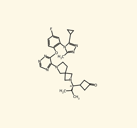 Cc1nnc(C2CC2)n1-c1cc(F)ccc1Oc1nncnc1N1CCC2(C1)CN([C@H](C(C)C)C1CC(=O)C1)C2